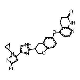 CCc1cc(-c2c[nH]c(C3COc4ccc(Oc5ccnc6c5CCC(=O)N6)cc4C3)n2)n(C2CC2)n1